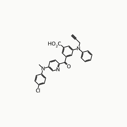 C#CCN(c1ccccc1)c1cc(C(=O)O)cc(C(=O)c2ccc(N(C)c3ccc(Cl)cc3)cn2)c1